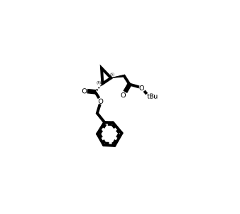 CC(C)(C)OC(=O)C[C@@H]1C[C@H]1C(=O)OCc1ccccc1